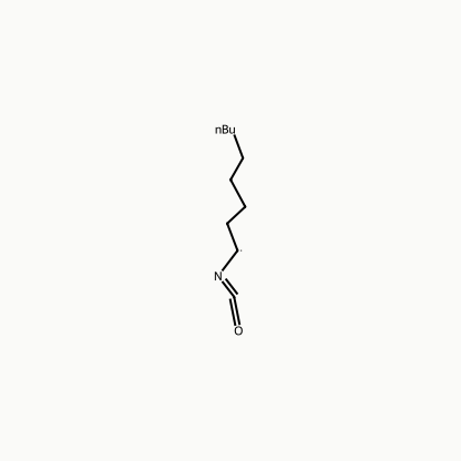 CCCCCCCC[CH]N=C=O